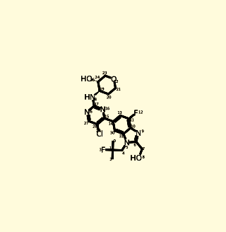 CC(C)(F)Cn1c(CO)nc2c(F)cc(-c3nc(N[C@@H]4CCOC[C@H]4O)ncc3Cl)cc21